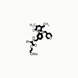 C/C=C(\C=C(\C)C(=O)CCC)c1nc2cc(CNC(C(=O)OCCOC)C(C)C)ccc2n1CC1CCOCC1